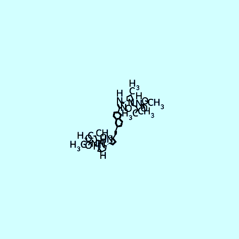 COC(=O)N[C@H](C(=O)N1C[C@@H](C)C[C@H]1c1nc(-c2ccc3cc(C#Cc4ccc([C@@H]5C[C@H]6C[C@H]6N5C(=O)[C@@H](NC(=O)OC)C(C)C)[nH]4)ccc3c2)c[nH]1)C(C)C